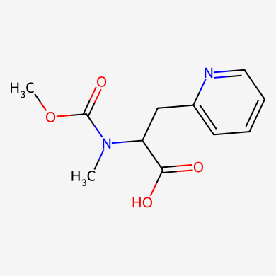 COC(=O)N(C)C(Cc1ccccn1)C(=O)O